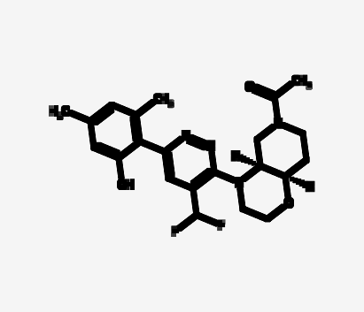 CC(=O)N1CC[C@H]2OCCN(c3nnc(-c4c(C)cc(C)cc4O)cc3C(F)F)[C@H]2C1